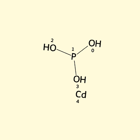 OP(O)O.[Cd]